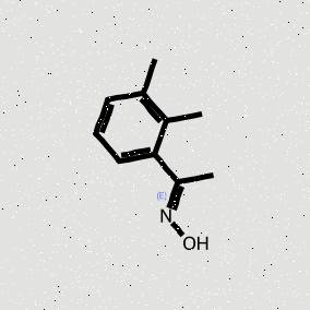 C/C(=N\O)c1cccc(C)c1C